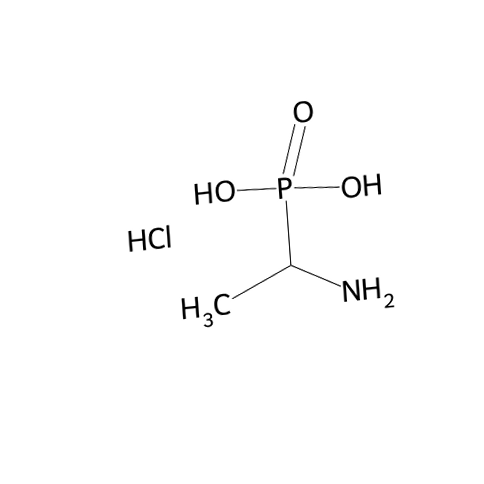 CC(N)P(=O)(O)O.Cl